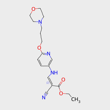 CCOC(=O)/C(C#N)=C\Nc1ccc(OCCCN2CCOCC2)nc1